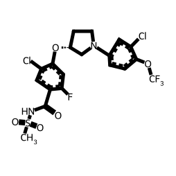 CS(=O)(=O)NC(=O)c1cc(Cl)c(O[C@@H]2CCN(c3ccc(OC(F)(F)F)c(Cl)c3)C2)cc1F